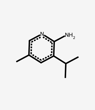 Cc1cnc(N)c(C(C)C)c1